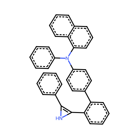 c1ccc(C2=C(c3ccccc3-c3ccc(N(c4ccccc4)c4cccc5ccccc45)cc3)N2)cc1